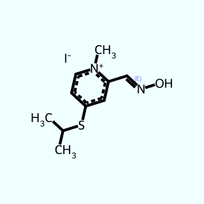 CC(C)Sc1cc[n+](C)c(/C=N/O)c1.[I-]